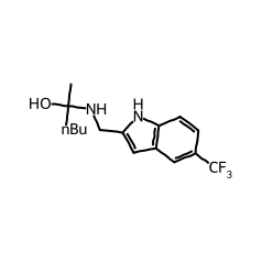 CCCCC(C)(O)NCc1cc2cc(C(F)(F)F)ccc2[nH]1